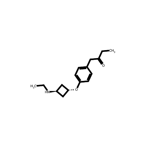 CCN[C@H]1C[C@H](Oc2ccc(CC(=O)CC)cc2)C1